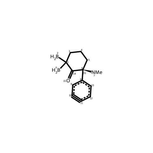 BC1(B)CCC[C@](NC)(c2cc#ccc2)C1=O